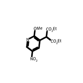 CCOC(=O)C(C(=O)OCC)c1cc([N+](=O)[O-])cnc1OC